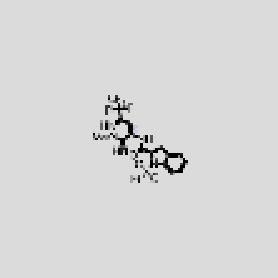 CCS(=O)(=O)N1c2ccccc2CC1C(=O)N/C(=C/C(=N)C(F)(F)C(F)(F)F)C(=N)NC